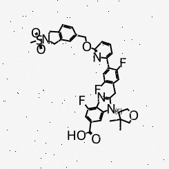 CC1(C)COC[C@H]1n1c(Cc2cc(F)c(-c3cccc(OCc4ccc5c(c4)CN(S(C)(=O)=O)C5)n3)cc2F)nc2c(F)cc(C(=O)O)cc21